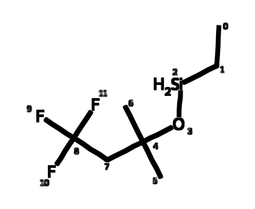 CC[SiH2]OC(C)(C)CC(F)(F)F